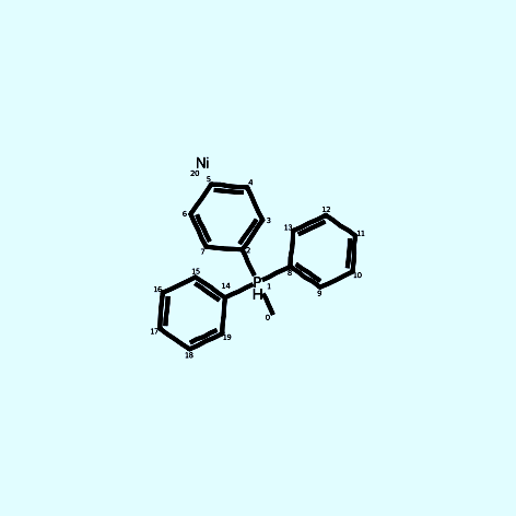 C[PH](c1ccccc1)(c1ccccc1)c1ccccc1.[Ni]